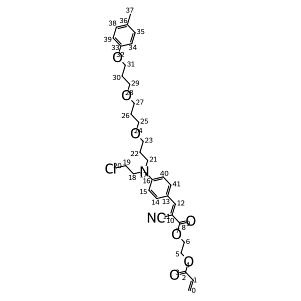 C=CC(=O)OCCOC(=O)/C(C#N)=C/c1ccc(N(CCCl)CCCOCCCOCCCOc2ccc(C)cc2)cc1